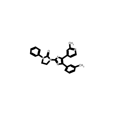 Cc1cccc(-c2nc(N3CCN(c4ccccc4)C3=O)sc2-c2ccnc(C)c2)c1